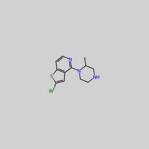 CC1CNCCN1c1nccc2sc(Br)cc12